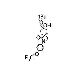 CC(C)(C)COC[C@]1(O)CC[C@]2(CCN(c3ccc(OCC(F)(F)F)cc3)C2=O)CC1